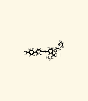 CC(O)c1cc(C#Cc2ccc(-c3ccc(Cl)cc3)cn2)ccc1OCCN1CCCC1